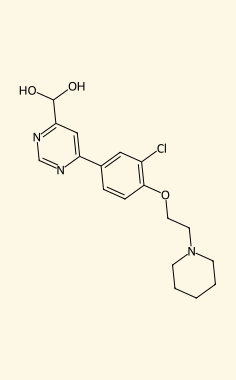 OC(O)c1cc(-c2ccc(OCCN3CCCCC3)c(Cl)c2)ncn1